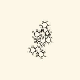 CC1(C)c2ccccc2C2(c3ccccc3-n3c4ccccc4c4cccc2c43)c2cccc(-c3cc4ccccc4c4ccccc34)c21